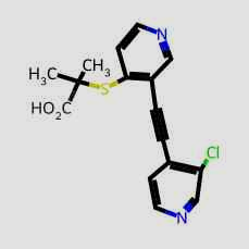 CC(C)(Sc1ccncc1C#Cc1ccncc1Cl)C(=O)O